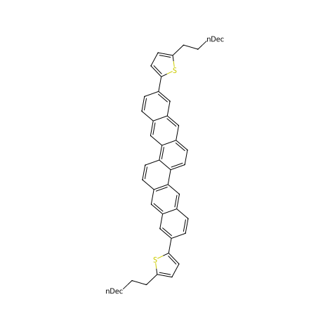 CCCCCCCCCCCCc1ccc(-c2ccc3cc4c(ccc5c6cc7ccc(-c8ccc(CCCCCCCCCCCC)s8)cc7cc6ccc45)cc3c2)s1